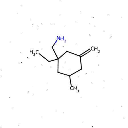 C=C1CC(C)CC(CC)(CN)C1